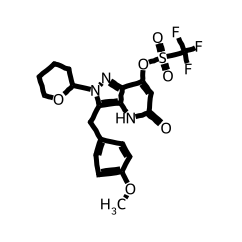 COc1ccc(Cc2c3[nH]c(=O)cc(OS(=O)(=O)C(F)(F)F)c3nn2C2CCCCO2)cc1